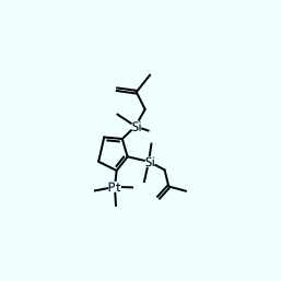 C=C(C)C[Si](C)(C)C1=CC[C]([Pt]([CH3])([CH3])[CH3])=C1[Si](C)(C)CC(=C)C